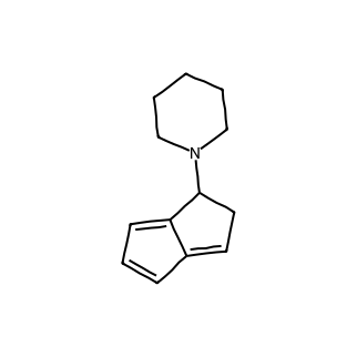 C1=CC2=CCC(N3CCCCC3)C2=C1